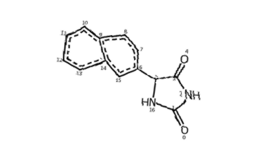 O=C1NC(=O)C(c2ccc3ccccc3c2)N1